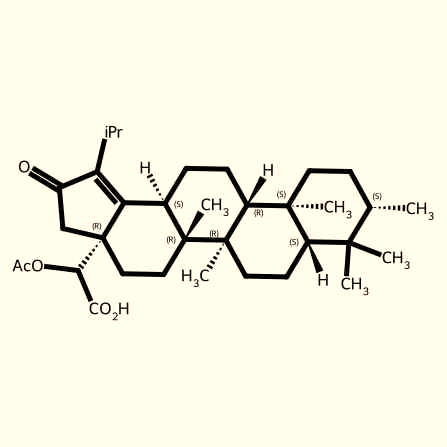 CC(=O)OC(C(=O)O)[C@@]12CC[C@]3(C)[C@H](CC[C@@H]4[C@@]5(C)CC[C@H](C)C(C)(C)[C@@H]5CC[C@]43C)C1=C(C(C)C)C(=O)C2